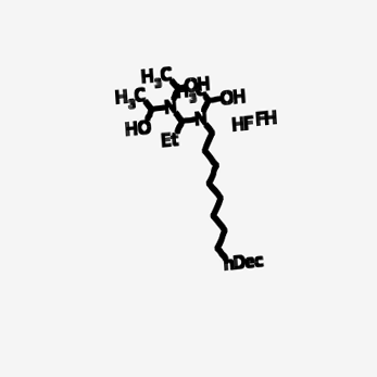 CCCCCCCCCCCCCCCCCCN(C(C)O)C(CC)N(C(C)O)C(C)O.F.F